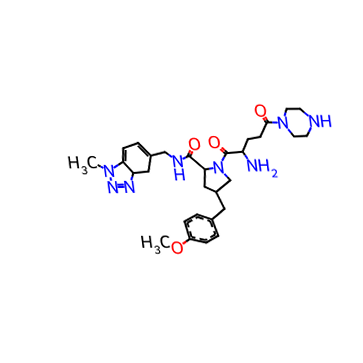 COc1ccc(CC2CC(C(=O)NCC3=CC=C4C(C3)N=NN4C)N(C(=O)C(N)CCC(=O)N3CCNCC3)C2)cc1